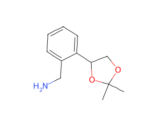 CC1(C)OCC(c2ccccc2CN)O1